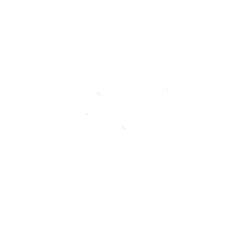 CC(C)(C)[C@](NC(=O)O)(c1ccc(C(F)(F)F)cc1)c1ncccc1Br